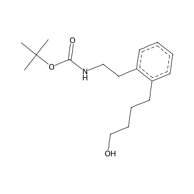 CC(C)(C)OC(=O)NCCc1ccccc1CCCCO